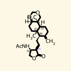 C=C1CC[C@@H]2[C@]3(C)COCO[C@@H]3CC[C@@]2(C)[C@@H]1C/C=C1/C(=O)OC[C@H]1NC(C)=O